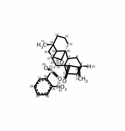 C=C1C(=O)C23CC[C@H]1CC2[C@@]12CCC[C@@](C)(COC1=O)C2C[C@H]3S(=O)(=O)c1ccccc1[N+](=O)[O-]